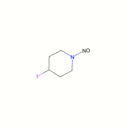 O=NN1CCC(I)CC1